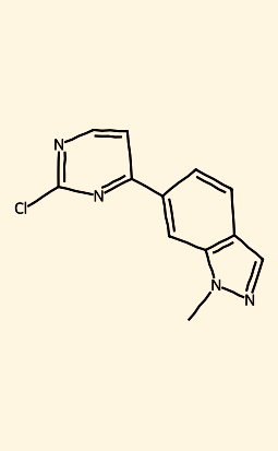 Cn1ncc2ccc(-c3ccnc(Cl)n3)cc21